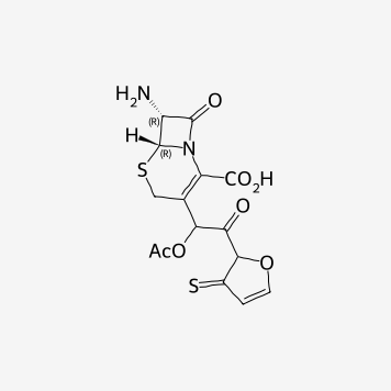 CC(=O)OC(C(=O)C1OC=CC1=S)C1=C(C(=O)O)N2C(=O)[C@@H](N)[C@H]2SC1